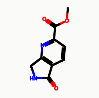 COC(=O)c1ccc2c(n1)CNC2=O